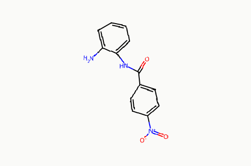 Nc1ccccc1NC(=O)c1ccc([N+](=O)[O-])cc1